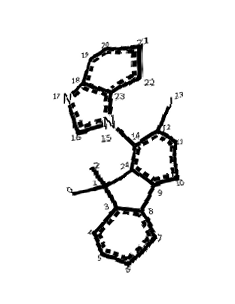 CC1(C)c2ccccc2-c2ccc(I)c(-n3cnc4ccccc43)c21